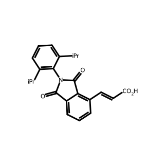 CC(C)c1cccc(C(C)C)c1N1C(=O)c2cccc(C=CC(=O)O)c2C1=O